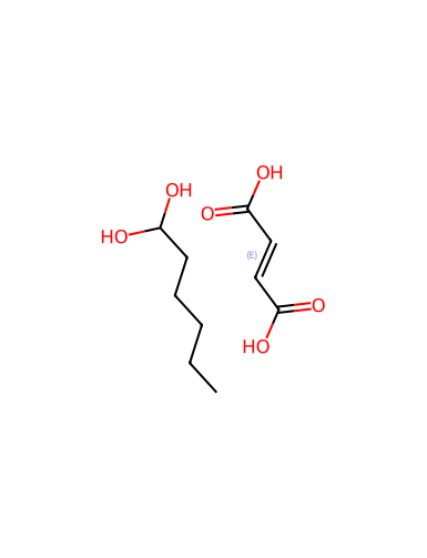 CCCCCC(O)O.O=C(O)/C=C/C(=O)O